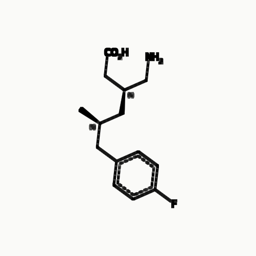 C[C@H](Cc1ccc(F)cc1)C[C@H](CN)CC(=O)O